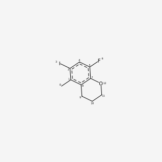 Cc1c(I)cc(F)c2c1CCCO2